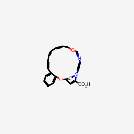 O=C(O)C1=CC2CN1/C=C\N=C/OC\C=C/C=C\C=C/c1ccccc1O2